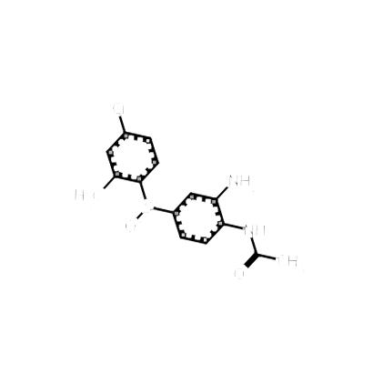 CC(=O)Nc1ccc([S+]([O-])c2ccc(Cl)cc2C)cc1N